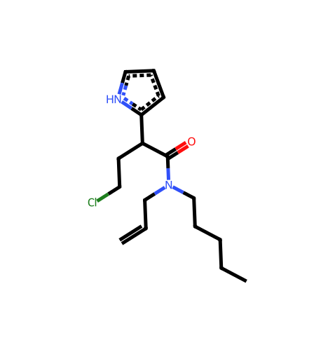 C=CCN(CCCCC)C(=O)C(CCCl)c1ccc[nH]1